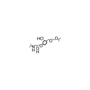 CC(C)NCC(O)COc1ccc(COCCOC(C)C)cc1.Cl